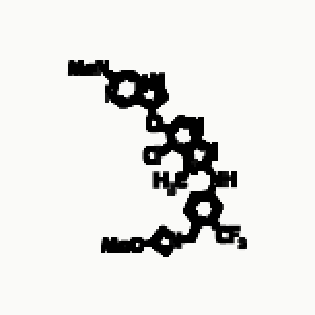 CNc1cn2ncc(Oc3cnc4nc(Nc5ccc(CN6CC(OC)C6)c(C(F)(F)F)c5)n(C)c4c3Cl)c2cn1